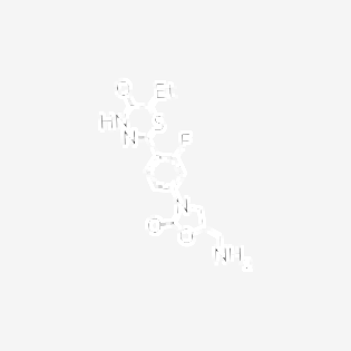 CCC1SC(c2ccc(N3CC(CN)OC3=O)cc2F)=NNC1=O